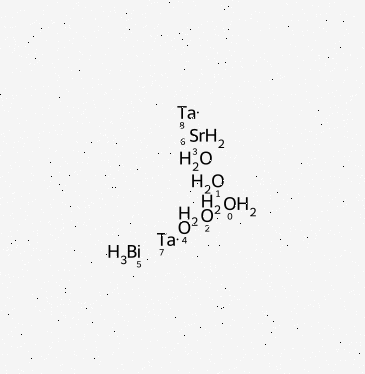 O.O.O.O.O.[BiH3].[SrH2].[Ta].[Ta]